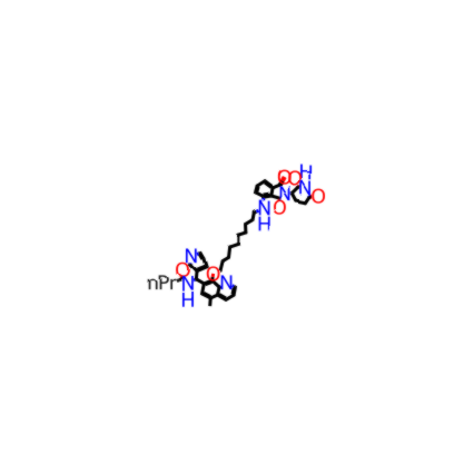 CCCC(=O)NC(c1cccnc1)c1cc(C)c2cccnc2c1OCCCCCCCCCCNc1cccc2c1C(=O)N(C1CCC(=O)NC1=O)C2=O